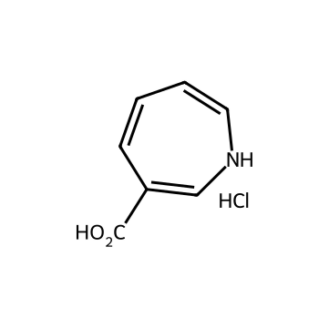 Cl.O=C(O)C1=CNC=CC=C1